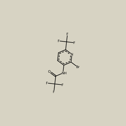 O=C(Nc1ccc(C(F)(F)F)nc1Br)C(F)(F)F